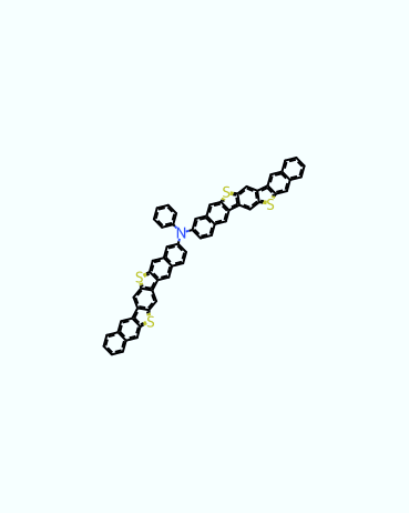 c1ccc(N(c2ccc3cc4c(cc3c2)sc2cc3c(cc24)sc2cc4ccccc4cc23)c2ccc3cc4c(cc3c2)sc2cc3c(cc24)sc2cc4ccccc4cc23)cc1